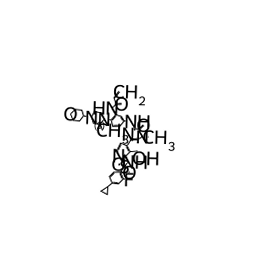 C=CC(=O)Nc1cc(Nc2nc(-c3ccnc(NS(=O)(=O)c4ccc(C5CC5)cc4F)c3CO)cn(C)c2=O)ccc1N1CCN(C2CCOCC2)C[C@@H]1C